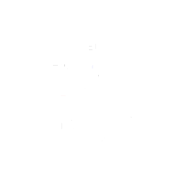 CC/C(C)=C/C(O)C1CCCCC1C